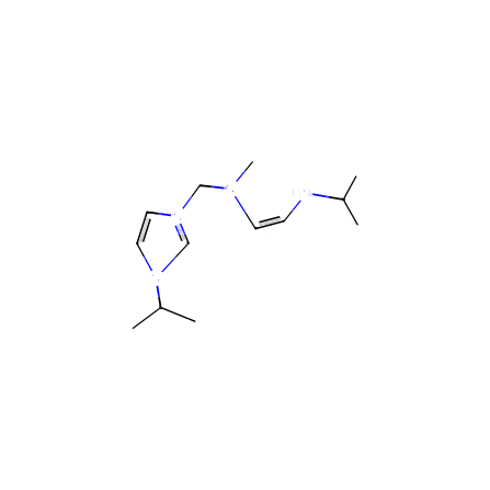 CC(C)N/C=C\N(C)C[n+]1ccn(C(C)C)c1